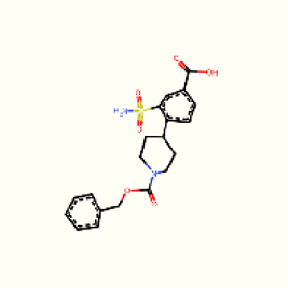 NS(=O)(=O)c1cc(C(=O)O)ccc1C1CCN(C(=O)OCc2ccccc2)CC1